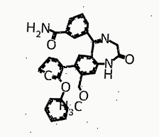 COCc1cc2c(cc1-c1ccccc1Oc1ccccc1)C(c1cccc(C(N)=O)c1)=NCC(=O)N2